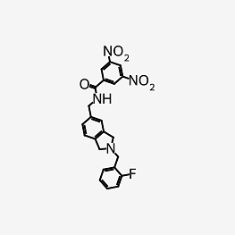 O=C(NCc1ccc2c(c1)CN(Cc1ccccc1F)C2)c1cc([N+](=O)[O-])cc([N+](=O)[O-])c1